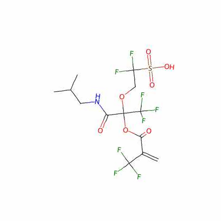 C=C(C(=O)OC(OCC(F)(F)S(=O)(=O)O)(C(=O)NCC(C)C)C(F)(F)F)C(F)(F)F